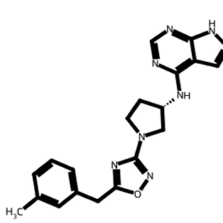 Cc1cccc(Cc2nc(N3CC[C@H](Nc4ncnc5[nH]ncc45)C3)no2)c1